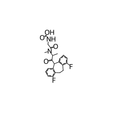 CC(C(=O)C1c2cccc(F)c2CCc2c(F)cccc21)N(C)C(=O)CNC(=O)O